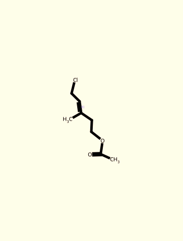 CC(=O)OCC/C(C)=C/CCl